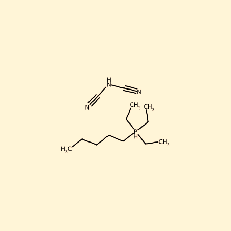 CCCCC[PH](CC)(CC)CC.N#CNC#N